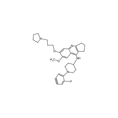 COc1cc2c(NC3CCN(c4cc#ccc4F)CC3)c3c(nc2cc1OCCCN1CCCC1)CCC3